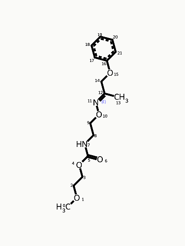 COCCOC(=O)NCCO/N=C(\C)COc1ccccc1